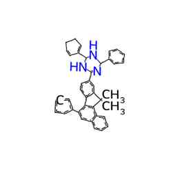 CC1(C)c2cc(C3=NC(c4ccccc4)NC(C4=CCCC=C4)N3)ccc2-c2c(-c3ccccc3)cc3ccccc3c21